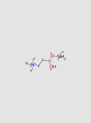 C[SiH2]OC(O)CC[N+](C)(C)C